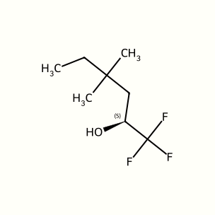 CCC(C)(C)C[C@H](O)C(F)(F)F